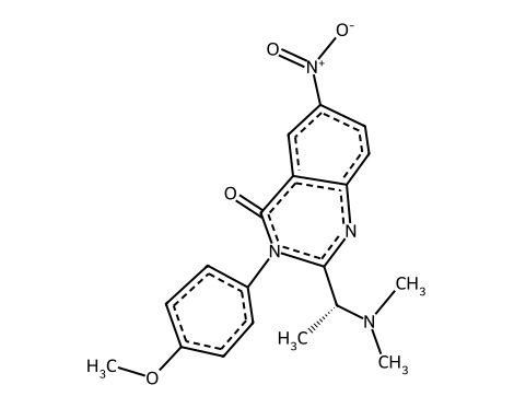 COc1ccc(-n2c([C@@H](C)N(C)C)nc3ccc([N+](=O)[O-])cc3c2=O)cc1